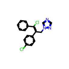 ClC(=C(Cn1cncn1)c1ccc(Cl)cc1)c1ccccc1